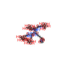 O=C(CC[C@H](NC(=O)CN(CC(=O)NCCCCCC(=O)ON1C(=O)CCC1=O)CC(=O)N[C@@H](CCC(=O)NCCO[C@H]1O[C@H](CO)[C@@H](O)[C@H](O)[C@H]1O)C(=O)NCCO[C@H]1O[C@H](CO)[C@@H](O)[C@H](O)[C@H]1O)C(=O)NCCO[C@H]1O[C@H](CO)[C@@H](O)[C@H](O)[C@@H]1O)NCCO[C@H]1O[C@H](CO)[C@@H](O)[C@H](O)[C@@H]1O